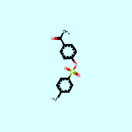 CC(=O)c1ccc(OS(=O)(=O)c2ccc(C)cc2)cc1